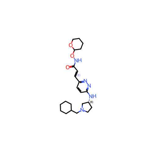 O=C(/C=C/c1ccc(N[C@@H]2CCN(CC3CCCCC3)C2)nn1)NOC1CCCCO1